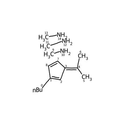 CCCCC1=CC(=C(C)C)C=C1.CN.CN.CN